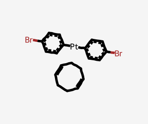 Brc1cc[c]([Pt][c]2ccc(Br)cc2)cc1.C1=CCCC=CCC1